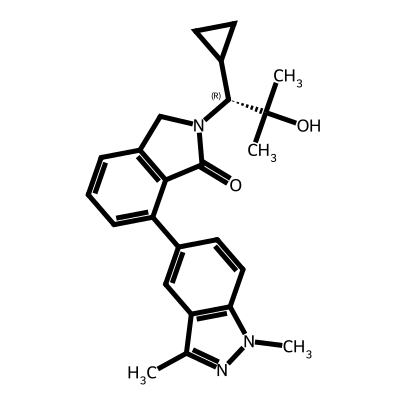 Cc1nn(C)c2ccc(-c3cccc4c3C(=O)N([C@H](C3CC3)C(C)(C)O)C4)cc12